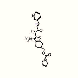 Nc1c(NC(=O)/C=C/c2cccnc2)sc2c1CCC(COC(=O)N1CC=CC1)C2